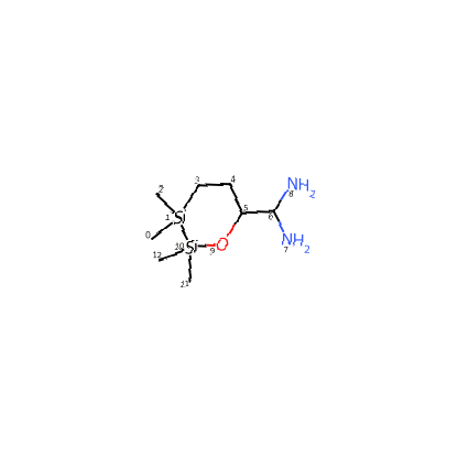 C[Si]1(C)CCC(C(N)N)O[Si]1(C)C